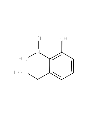 Cc1cccc(CC(=O)O)c1N(C)C